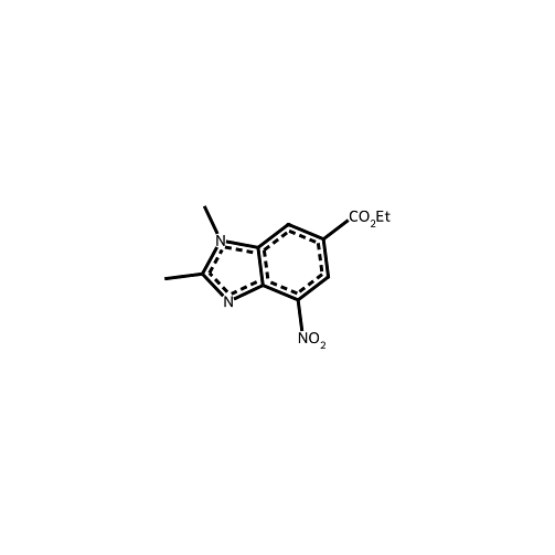 CCOC(=O)c1cc([N+](=O)[O-])c2nc(C)n(C)c2c1